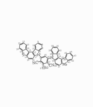 CC(C)(C)c1c(C#N)c(-n2c3ccccc3c3c4c(ccc32)sc2ccccc24)cc(-n2c3ccccc3c3c4c(ccc32)sc2ccccc24)c1C#N